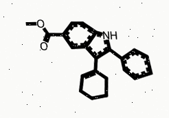 COC(=O)c1ccc2[nH]c(-c3ccccc3)c(C3=CCCCC3)c2c1